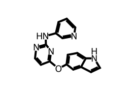 c1cncc(Nc2nccc(Oc3ccc4[nH]ccc4c3)n2)c1